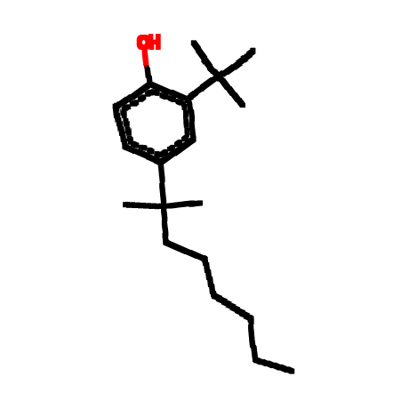 CCCCCCC(C)(C)c1ccc(O)c(C(C)(C)C)c1